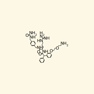 N=C(N)NCCC[C@@H](NC(=O)C(c1ccccc1)c1cccc(OCCOCCN)c1)C(=O)NCc1ccc(CNC(N)=O)cc1